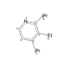 CCc1c(C(C)C)ccnc1C(C)C